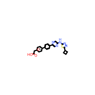 O=C(O)CC12CCC(c3ccc(-c4cnc(Nc5nnc(C6CCC6)s5)cn4)cc3)(CC1)CO2